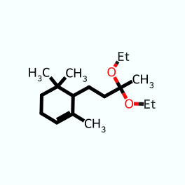 CCOC(C)(CCC1C(C)=CCCC1(C)C)OCC